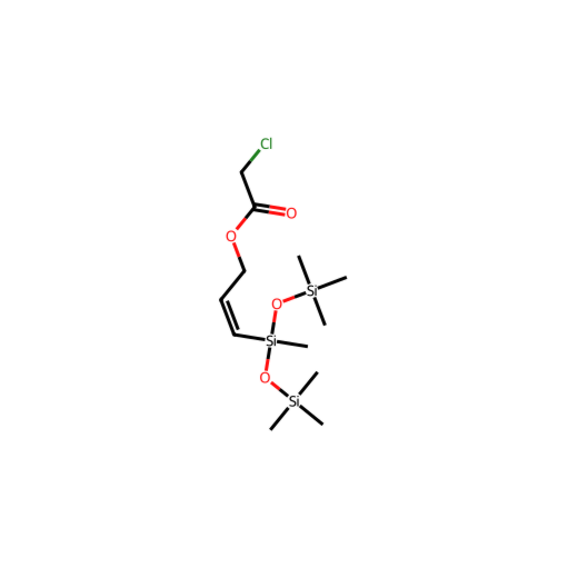 C[Si](C)(C)O[Si](C)(/C=C\COC(=O)CCl)O[Si](C)(C)C